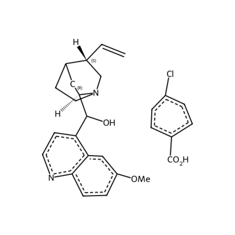 C=C[C@@H]1CN2CCC1C[C@@H]2C(O)c1ccnc2ccc(OC)cc12.O=C(O)c1ccc(Cl)cc1